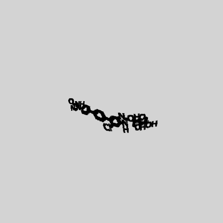 O=c1ncn(-c2ccc(-c3ccc(-c4cc5nc(O[C@@H]6CO[C@H]7[C@@H]6OC[C@H]7O)[nH]c5cc4Cl)cc3)cc2)[nH]1